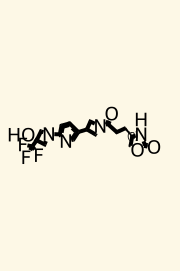 O=C1N[C@H](CCC(=O)N2CC(c3ccc(N4CC(O)(C(F)(F)F)C4)nc3)C2)CO1